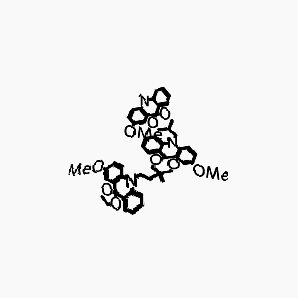 COc1ccc2c(c1)C1(OCC(CN3c4ccccc4C4(OCC(C)(CCN5c6ccccc6C6(OCCO6)c6cc(OC)ccc65)CO4)c4cc(OC)ccc43)CO1)c1ccccc1N2C